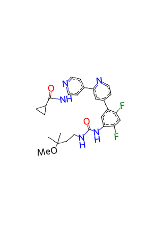 COC(C)(C)CCNC(=O)Nc1cc(-c2ccnc(-c3ccnc(NC(=O)C4CC4)c3)c2)c(F)cc1F